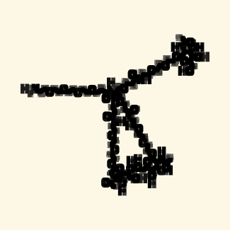 CC(=O)NCC(OCCOCCOCCNC(=O)CCOCC(COCCC(=O)NCCOCCOCCOC1OC(CO)C(O)C(O)C1NC(C)=O)(COCCC(=O)NCCOCCOCCOC1OC(CO)C(O)C(O)C1NC(C)=O)NC(=O)CCOCCOCCOCCOCCN)OC(CO)C(O)CO